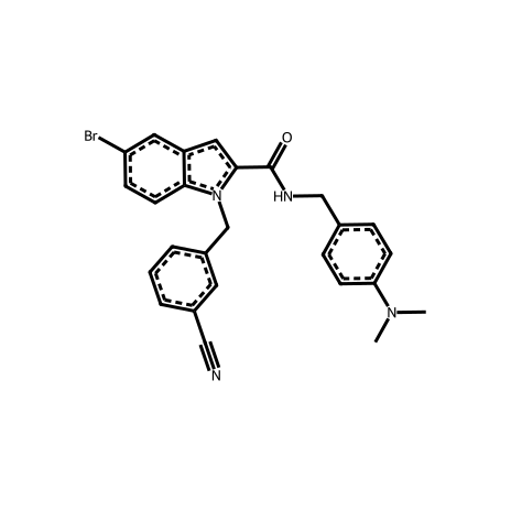 CN(C)c1ccc(CNC(=O)c2cc3cc(Br)ccc3n2Cc2cccc(C#N)c2)cc1